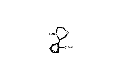 CCN1CCOCC1c1ccccc1OC